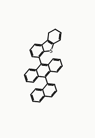 C1=Cc2sc3c(-c4c5ccccc5c(-c5cccc6ccccc56)c5ccccc45)cccc3c2CC1